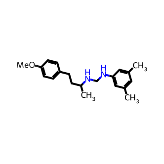 COc1ccc(CCC(C)NCNc2cc(C)cc(C)c2)cc1